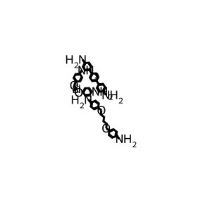 C[Si](C)(Oc1ccc(N)cc1)Oc1ccc(N)cc1.Nc1ccc(-c2ccc(-c3ccc(N)cc3)cc2)cc1.Nc1ccc(OCCCCOc2ccc(N)cc2)cc1